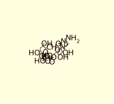 C[C@H]1OC(OP(=O)(O)OP(=O)(O)OC[C@H]2O[C@@H](n3ccc(N)nc3=O)[C@H](O)[C@@H]2O)[C@H](O)C[C@H]1O